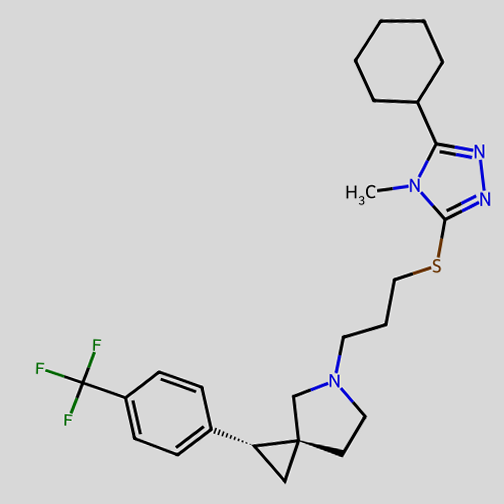 Cn1c(SCCCN2CC[C@]3(C[C@@H]3c3ccc(C(F)(F)F)cc3)C2)nnc1C1CCCCC1